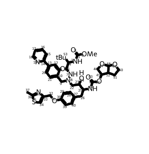 COC(=O)NC(C(=O)NN(Cc1ccc(-c2ccccn2)cc1)CC(O)C(Cc1ccc(OCc2csc(C)n2)cc1)NC(=O)OC1COC2OCCC12)C(C)(C)C